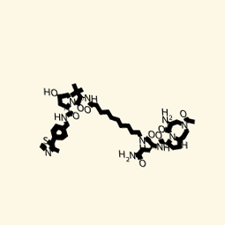 CC(=O)N1CC[C@H]2CC[C@@H](C(=O)N[C@@H](CCC(N)=O)C(=O)NCCCCCCCCCC(=O)N[C@H](C(=O)N3C[C@H](O)C[C@H]3C(=O)NCc3ccc(-c4scnc4C)cc3)C(C)(C)C)N2C(=O)[C@@H](N)C1